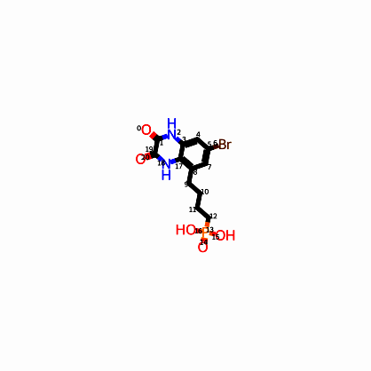 O=c1[nH]c2cc(Br)cc(CCCCP(=O)(O)O)c2[nH]c1=O